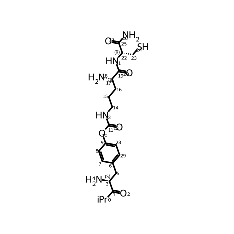 CC(C)C(=O)[C@@H](N)Cc1ccc(OC(=O)NCCC[C@H](N)C(=O)N[C@@H](CS)C(N)=O)cc1